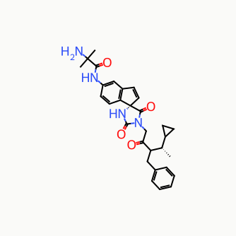 C[C@@H](C1CC1)C(Cc1ccccc1)C(=O)CN1C(=O)N[C@]2(C=Cc3cc(NC(=O)C(C)(C)N)ccc32)C1=O